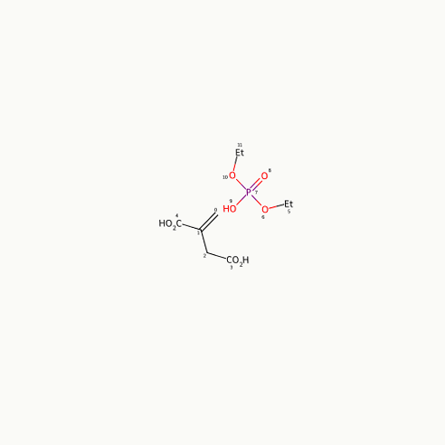 C=C(CC(=O)O)C(=O)O.CCOP(=O)(O)OCC